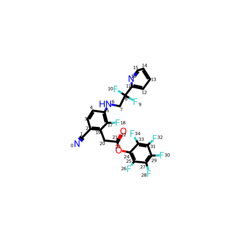 N#Cc1ccc(NCC(F)(F)c2ccccn2)c(F)c1CC(=O)Oc1c(F)c(F)c(F)c(F)c1F